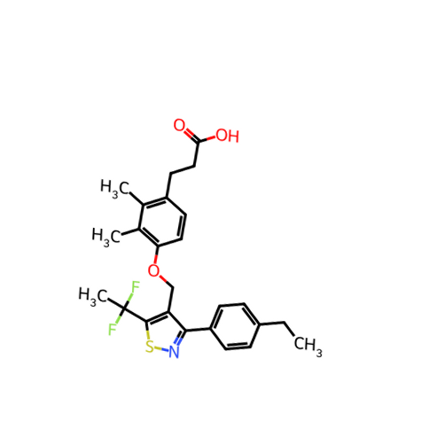 CCc1ccc(-c2nsc(C(C)(F)F)c2COc2ccc(CCC(=O)O)c(C)c2C)cc1